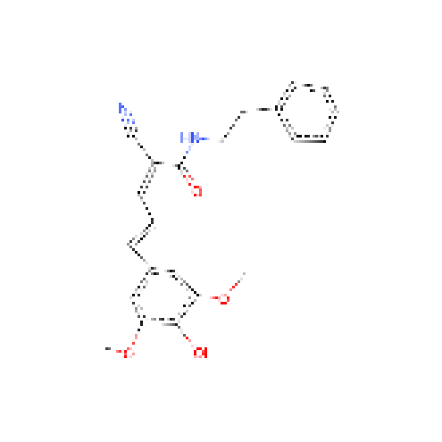 COc1cc(C=CC=C(C#N)C(=O)NCCc2ccccc2)cc(OC)c1O